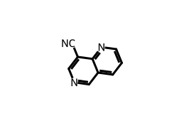 N#Cc1cncc2cccnc12